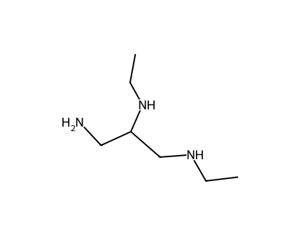 CCNCC(CN)NCC